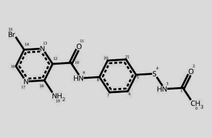 CC(=O)NSc1ccc(NC(=O)c2nc(Br)cnc2N)cc1